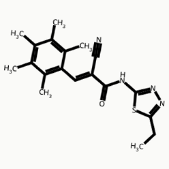 CCc1nnc(NC(=O)C(C#N)=Cc2c(C)c(C)c(C)c(C)c2C)s1